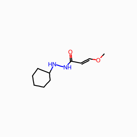 COC=CC(=O)NNC1CCCCC1